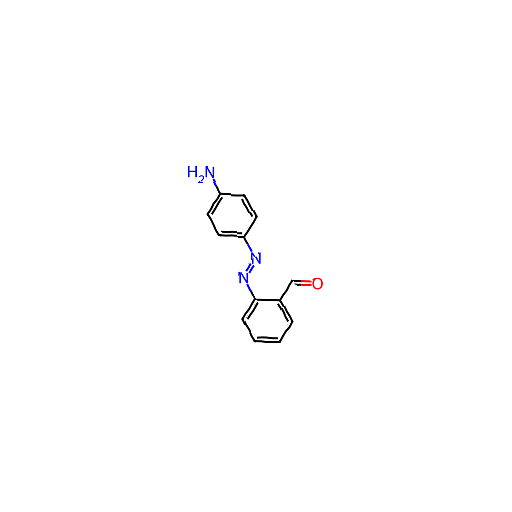 Nc1ccc(N=Nc2ccccc2C=O)cc1